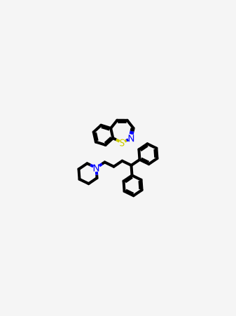 C1=Cc2ccccc2SN=C1.c1ccc(C(CCCN2CCCCC2)c2ccccc2)cc1